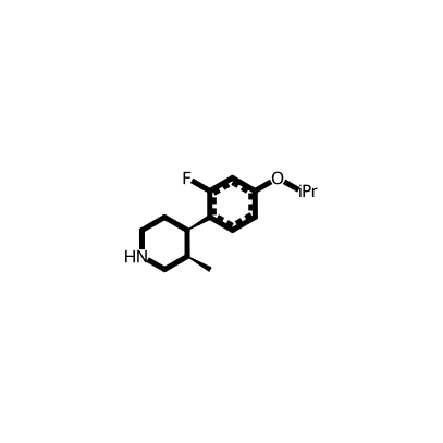 CC(C)Oc1ccc([C@@H]2CCNC[C@@H]2C)c(F)c1